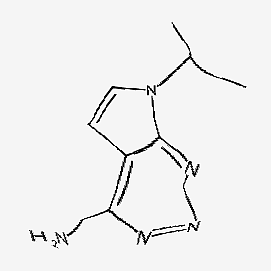 CC(C)n1ccc2c(N)nnnc21